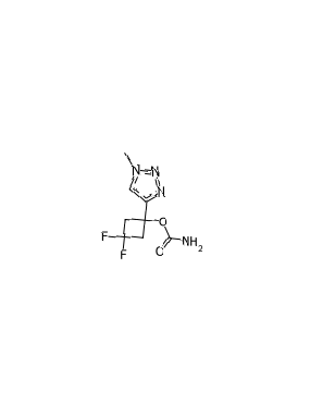 Cn1cc(C2(OC(N)=O)CC(F)(F)C2)nn1